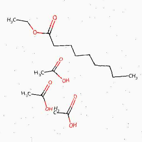 CC(=O)O.CC(=O)O.CC(=O)O.CCCCCCCCC(=O)OCC